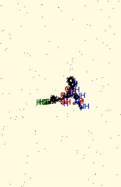 CNCC(=O)N(C)[C@H]1CN[C@H](C(=O)N2C[C@H](NC(=O)[C@H](O)CCc3ccccc3)C[C@H]2C(=O)Nc2cnc3ccccc3c2)C1.Cl.Cl.Cl